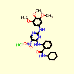 COc1cc(Nc2ncc([N+](=O)[O-])c(Nc3ccccc3C(=O)NC3CCCCC3)n2)cc(OC)c1OC.Cl